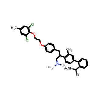 CCC(NC(C)=O)c1ccccc1-c1ccc(C(Cc2ccc(OCCOc3c(Cl)cc(C)cc3Cl)cc2)CN(C(=O)O)C(C)(C)C)c(C)c1